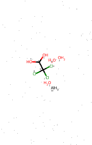 O.O.O.OC(O)C(Cl)(Cl)Cl.[AlH3]